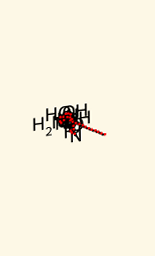 CCCCCCCCCCCCCCCCCOC[C@@H](COc1cc(F)cc(C#N)c1)COP(=O)(O)OC[C@@]1(C=NC)O[C@@H](c2ccc3c(N)ncnn23)[C@H](O)[C@@H]1O